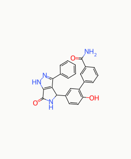 NC(=O)c1cccc(-c2cc(C3NC(=O)c4[nH]nc(-c5ccccc5)c43)ccc2O)c1